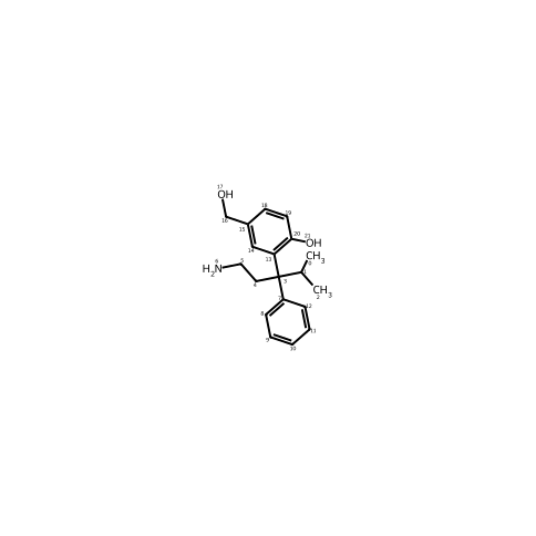 CC(C)C(CCN)(c1ccccc1)c1cc(CO)ccc1O